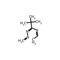 C=N/N=C(\N=C/C)C(C)(C)C